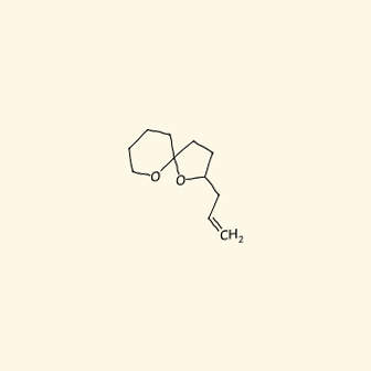 C=CCC1CCC2(CCCCO2)O1